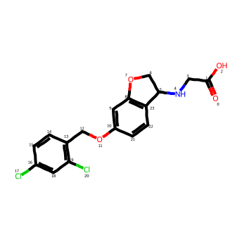 O=C(O)CNC1COc2cc(OCc3ccc(Cl)cc3Cl)ccc21